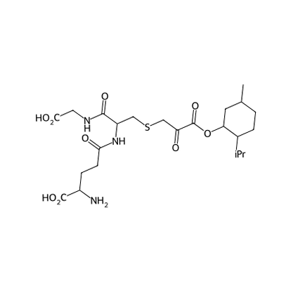 CC1CCC(C(C)C)C(OC(=O)C(=O)CSCC(NC(=O)CCC(N)C(=O)O)C(=O)NCC(=O)O)C1